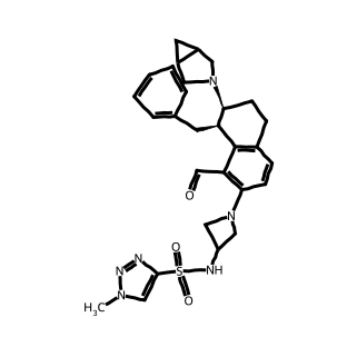 Cn1cc(S(=O)(=O)NC2CN(c3ccc4c(c3C=O)[C@@H](Cc3ccccc3)[C@@H](N3CC5CC5C3)CC4)C2)nn1